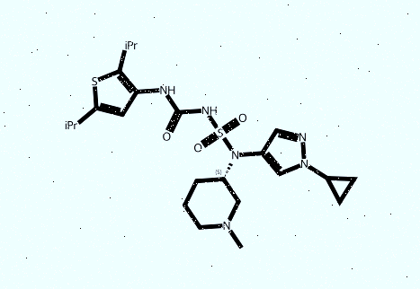 CC(C)c1cc(NC(=O)NS(=O)(=O)N(c2cnn(C3CC3)c2)[C@H]2CCCN(C)C2)c(C(C)C)s1